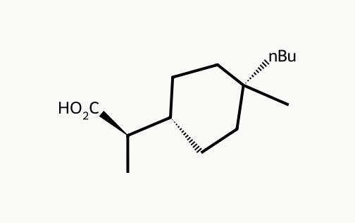 CCCC[C@]1(C)CC[C@H]([C@@H](C)C(=O)O)CC1